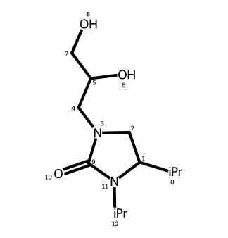 CC(C)C1CN(CC(O)CO)C(=O)N1C(C)C